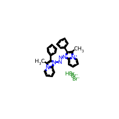 Br.Cc1c(-c2ccccc2)n(/N=N/n2c(-c3ccccc3)c(C)[n+]3ccccc23)c2cccc[n+]12.[Br-].[Br-]